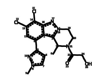 CC1c2c3c(-c4ccn(C)n4)cc(Cl)c(Cl)c3nn2CCN1C(=O)CO